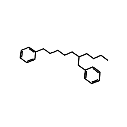 [CH2]CCCC(CCCCCc1ccccc1)Cc1ccccc1